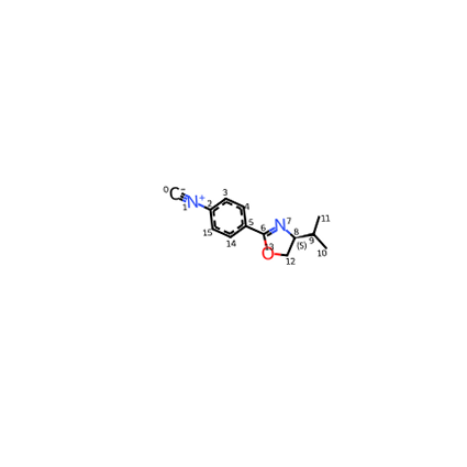 [C-]#[N+]c1ccc(C2=N[C@@H](C(C)C)CO2)cc1